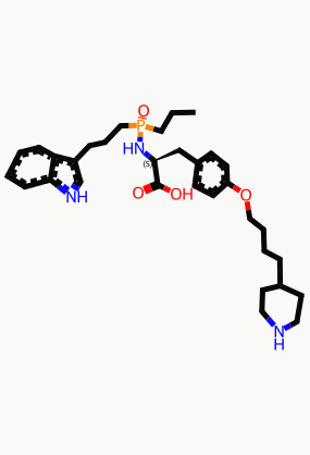 CCCP(=O)(CCCc1c[nH]c2ccccc12)N[C@@H](Cc1ccc(OCCCCC2CCNCC2)cc1)C(=O)O